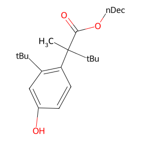 CCCCCCCCCCOC(=O)C(C)(c1ccc(O)cc1C(C)(C)C)C(C)(C)C